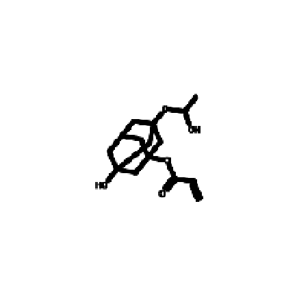 C=CC(=O)OC12CC3CC(O)(C1)CC(OC(C)O)(C3)C2